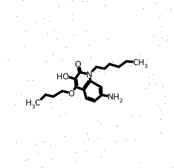 CCCCCCn1c(=O)c(O)c(OCCCC)c2ccc(N)cc21